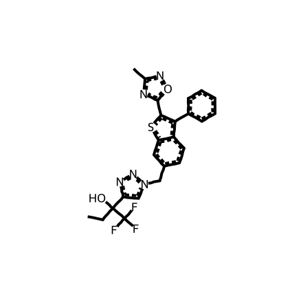 CCC(O)(c1cn(Cc2ccc3c(-c4ccccc4)c(-c4nc(C)no4)sc3c2)nn1)C(F)(F)F